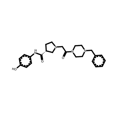 O=C(Nc1ccc(O)cc1)[C@@H]1CCN(CC(=O)N2CCN(Cc3ccccc3)CC2)C1